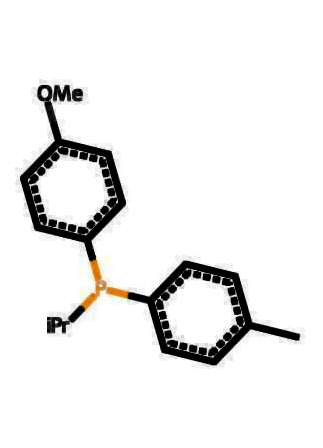 COc1ccc(P(c2ccc(C)cc2)C(C)C)cc1